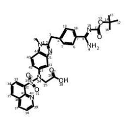 Cn1c(Cc2ccc(C(N)=NC(=O)OC(C)(C)C)cc2)nc2cc(N(CC(=O)O)S(=O)(=O)c3cccc4cccnc34)ccc21